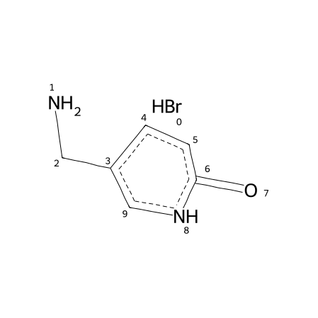 Br.NCc1ccc(=O)[nH]c1